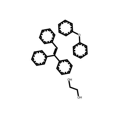 C(=C(c1ccccc1)c1ccccc1)c1ccccc1.OCCO.c1ccc(Oc2ccccc2)cc1